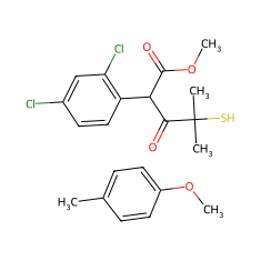 COC(=O)C(C(=O)C(C)(C)S)c1ccc(Cl)cc1Cl.COc1ccc(C)cc1